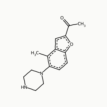 CC(=O)c1cc2c(C)c(N3CCNCC3)ccc2o1